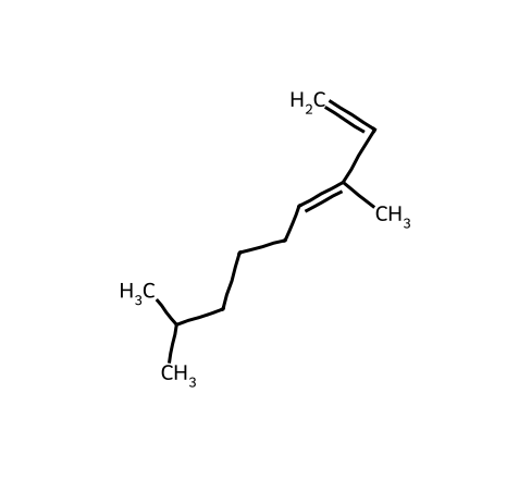 C=CC(C)=CCCCC(C)C